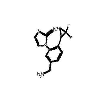 N=c1sccn1-c1cc(CN)ccc1C1CC1(F)F